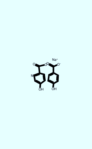 O=C([O-])c1ccc(O)cc1.O=C([O-])c1ccc(O)cc1.[Na+].[Na+]